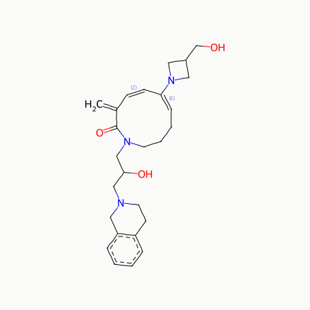 C=C1/C=C\C(N2CC(CO)C2)=C/CCCN(CC(O)CN2CCc3ccccc3C2)C1=O